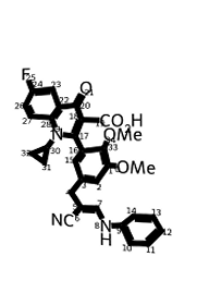 COc1cc(CC(C#N)=CNc2ccccc2)cc(-c2c(C(=O)O)c(=O)c3cc(F)ccc3n2C2CC2)c1OC